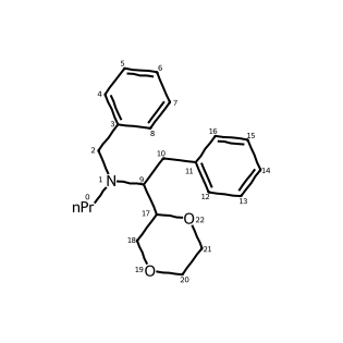 [CH2]CCN(Cc1ccccc1)C(Cc1ccccc1)C1COCCO1